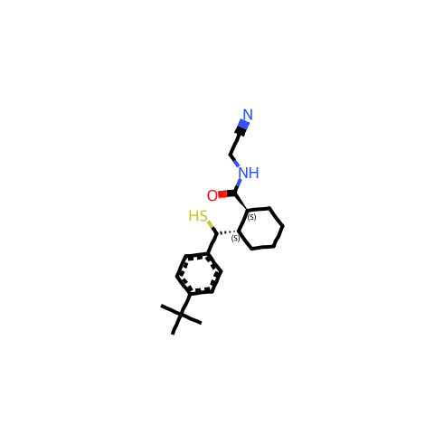 CC(C)(C)c1ccc(C(S)[C@H]2CCCC[C@@H]2C(=O)NCC#N)cc1